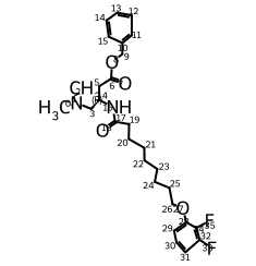 CN(C)C[C@@H](CC(=O)OCc1ccccc1)NC(=O)CCCCCCCCOc1cccc(F)c1F